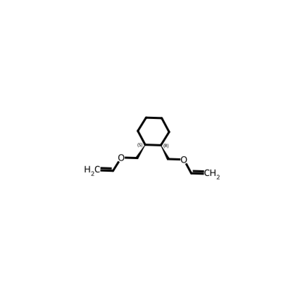 C=COC[C@H]1CCCC[C@H]1COC=C